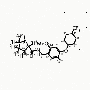 [2H]C1([2H])NC([2H])(C(=O)NCc2cc(F)c(OC3CCC(C(F)(F)F)CC3)cc2OC)C([2H])([2H])C1([2H])[2H]